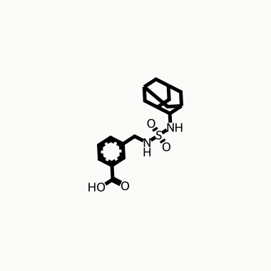 O=C(O)c1cccc(CNS(=O)(=O)NC2C3CC4CC(C3)CC2C4)c1